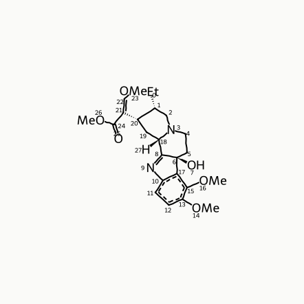 CC[C@@H]1CN2CC[C@@]3(O)C(=Nc4ccc(OC)c(OC)c43)[C@@H]2C[C@@H]1/C(=C\OC)C(=O)OC